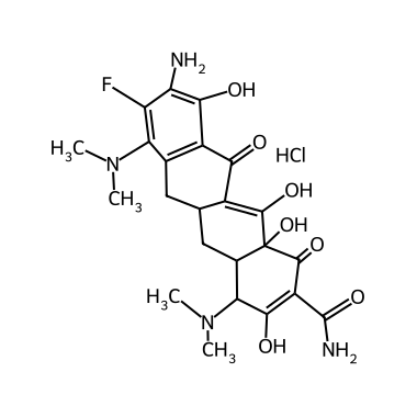 CN(C)c1c(F)c(N)c(O)c2c1CC1CC3C(N(C)C)C(O)=C(C(N)=O)C(=O)C3(O)C(O)=C1C2=O.Cl